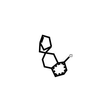 Clc1cccc2c1CC1(CC2)CC2=CCC1C2